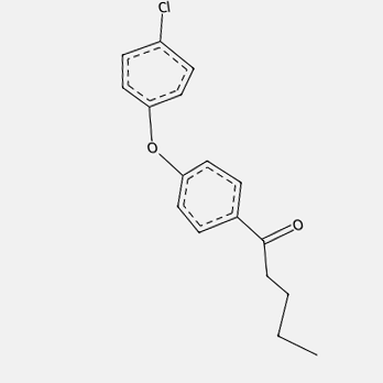 CCCCC(=O)c1ccc(Oc2ccc(Cl)cc2)cc1